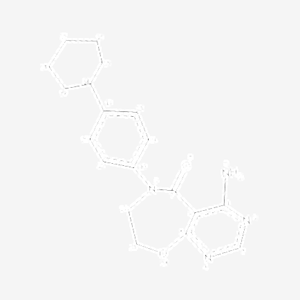 Nc1ncnc2c1C(=O)N(c1ccc(C3CCCCC3)cc1)CCO2